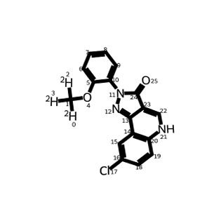 [2H]C([2H])([2H])Oc1ccccc1-n1nc2c3cc(Cl)ccc3[nH]cc-2c1=O